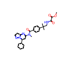 COC(=O)C(=O)NCC(C)(C)c1ccc(C(=O)N(C)c2cc(-c3ccccc3)n3nccc3n2)cc1